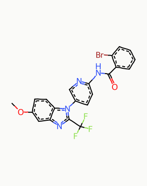 COc1ccc2c(c1)nc(C(F)(F)F)n2-c1ccc(NC(=O)c2ccccc2Br)nc1